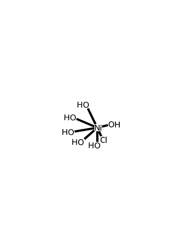 [OH][Ni]([OH])([OH])([OH])([OH])([OH])[Cl]